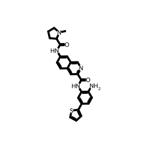 CN1CCCC1C(=O)Nc1ccc2cc(C(=O)Nc3cc(-c4cccs4)ccc3N)ncc2c1